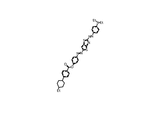 CCC1CCC(c2ccc(C(=O)Oc3ccc(N=Nc4cc5sc(N=Nc6ccc(N(CC)CC)cc6)nc5s4)cc3)cc2)CC1